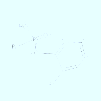 CCCP(=O)(O)Oc1ccccc1C